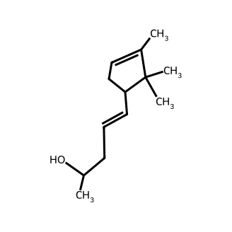 CC1=CCC(/C=C/CC(C)O)C1(C)C